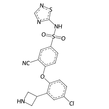 N#Cc1cc(S(=O)(=O)Nc2ncns2)ccc1Oc1ccc(Cl)cc1C1CNC1